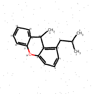 CC(C)Cc1cccc2c1C(C)c1ccccc1O2